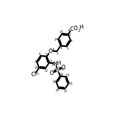 O=C(O)c1ccc(COc2ccc(Cl)cc2NS(=O)(=O)c2ccccc2)cc1